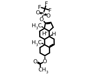 CC(=O)O[C@H]1CC[C@@]2(C)C(=CC[C@@H]3C2CC[C@]2(C)C(OS(=O)(=O)C(F)(F)F)=CC[C@@H]32)C1